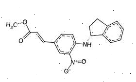 COC(=O)/C=C/c1ccc(N[C@@H]2CCc3ccccc32)c([N+](=O)[O-])c1